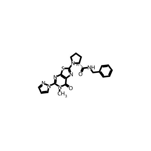 Cn1c(-n2cccn2)nc2sc(N3CCC[C@@H]3C(=O)NCc3ccccc3)nc2c1=O